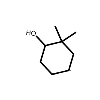 CC1(C)C[CH]CCC1O